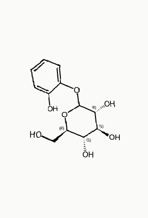 OC[C@H]1OC(Oc2ccccc2O)[C@H](O)[C@@H](O)[C@@H]1O